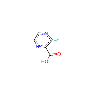 O=C(O)c1nccnc1F